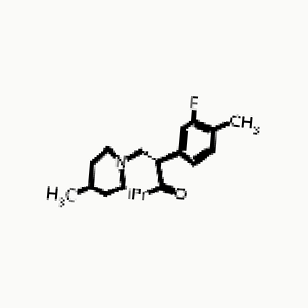 Cc1ccc([C@@H](CN2CCC(C)CC2)C(=O)C(C)C)cc1F